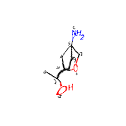 CC(O)C12CC(N)(CO1)C2